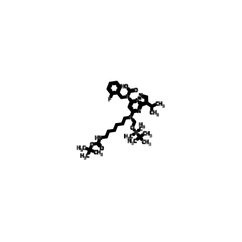 CC(C)c1cnn2c(N(Cc3ccccc3F)C(=O)O)cc(N(CCCCCCNC(=O)OC(C)(C)C)CO[Si](C)(C)C(C)(C)C)nc12